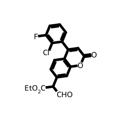 CCOC(=O)C(C=O)c1ccc2c(-c3cccc(F)c3Cl)cc(=O)oc2c1